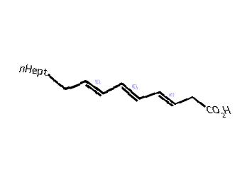 CCCCCCCC/C=C/C=C/C=C/CC(=O)O